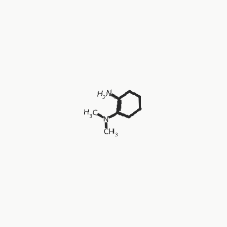 CN(C)C1=C(N)CCCC1